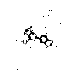 Cn1cnc2c(N)nc(-c3ccc4c(c3)OCO4)nc21